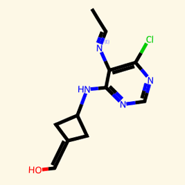 C/C=N/c1c(Cl)ncnc1NC1CC(=CO)C1